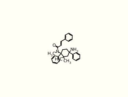 CN(C(=O)/C=C/c1ccccc1)C1(c2ccccc2)CCC(N)(c2ccccc2)CC1(C)C